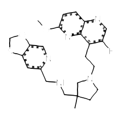 COc1ccc2ncc(F)c(CCN3CCC(C)(CNCc4cc5c(cn4)OCS5)C3)c2n1